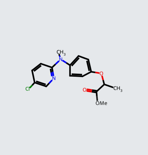 COC(=O)C(C)Oc1ccc(N(C)c2ccc(Cl)cn2)cc1